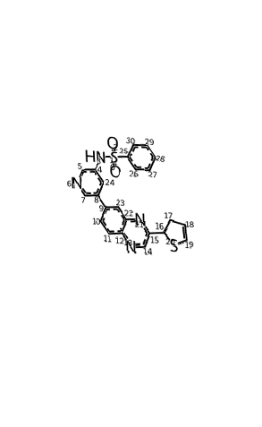 O=S(=O)(Nc1cncc(-c2ccc3ncc(C4CC=CS4)nc3c2)c1)c1ccccc1